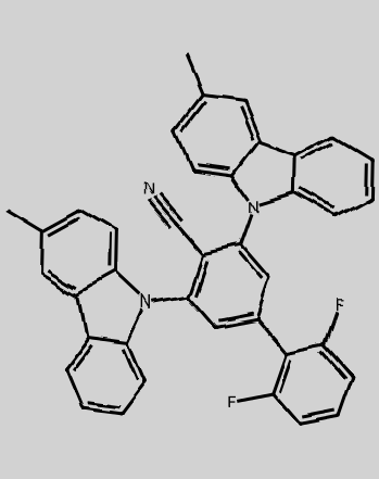 Cc1ccc2c(c1)c1ccccc1n2-c1cc(-c2c(F)cccc2F)cc(-n2c3ccccc3c3cc(C)ccc32)c1C#N